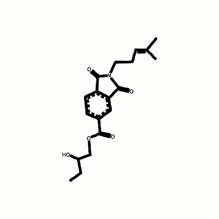 CCC(O)COC(=O)c1ccc2c(c1)C(=O)N(CCC=C(C)C)C2=O